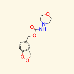 O=C(NN1CCOCC1)OCc1ccc2c(c1)COO2